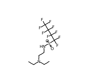 CCN(CC)CCNS(=O)(=O)C(F)(F)C(F)(F)C(F)(F)C(F)(F)F